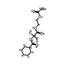 CCC(C)C(=O)OCCOC(=O)C(F)(F)OC(=O)C1CCCCC1